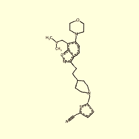 CN(C)Cc1c(N2CCOCC2)ccc2c(CCC3CCN(Cc4ccc(C#N)s4)CC3)noc12